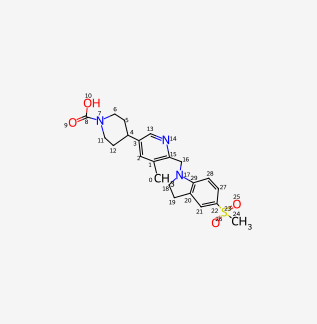 Cc1cc(C2CCN(C(=O)O)CC2)cnc1CN1CCc2cc(S(C)(=O)=O)ccc21